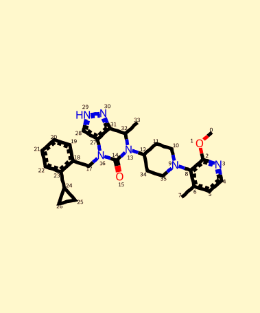 COc1nccc(C)c1N1CCC(N2C(=O)N(Cc3ccccc3C3CC3)c3c[nH]nc3C2C)CC1